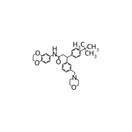 CC(C)(C)c1ccc(C(CC(=O)Nc2ccc3c(c2)OCCO3)c2cccc(CN3CCOCC3)c2)cc1